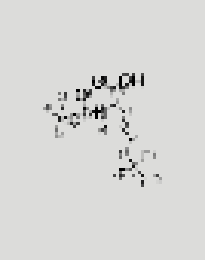 CCC(F)(F)CCC1CC(C(=O)O)N(C(=O)OC(C)(C)C)C1